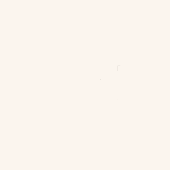 FC1=CC=CC(F)(Cl)C1